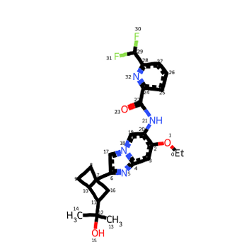 CCOc1cc2nc(C34CCC3C(C(C)(C)O)C4)cn2cc1NC(=O)c1cccc(C(F)F)n1